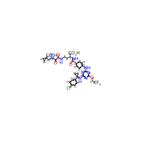 O=C(NCC[C@H](NC(=O)c1ccc(Nc2nc(NC3(c4ccc(Cl)cc4)CC3)nc(OCC(F)(F)F)n2)cc1)C(=O)O)C(=O)NCC1(C(=O)O)CC1